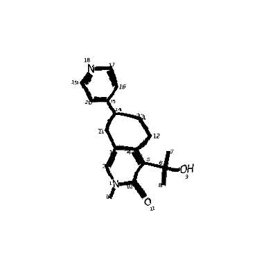 Cn1cc2c(c(C(C)(C)O)c1=O)CCC(c1ccncc1)C2